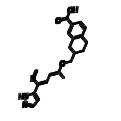 C=N/C(=C\C=C(/C)OCC1CCc2ccc(C(=O)O)cc2C1)c1ccn[nH]1